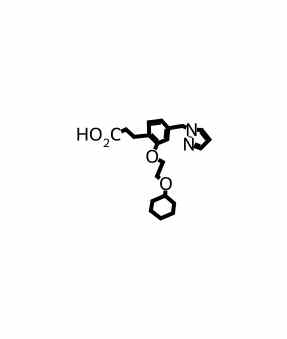 O=C(O)CCc1ccc(Cn2cccn2)cc1OCCOC1CCCCC1